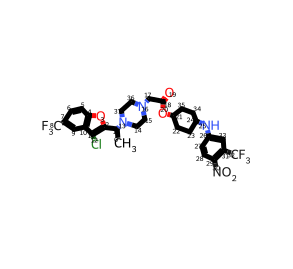 CC(c1oc2ccc(C(F)(F)F)cc2c1Cl)N1CCN(CC(=O)OC2CCC(Nc3ccc([N+](=O)[O-])c(C(F)(F)F)c3)CC2)CC1